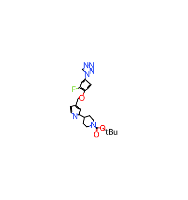 CC(C)(C)OC(=O)N1CCC(c2cc(COc3ccc(-n4cnnn4)cc3F)ccn2)CC1